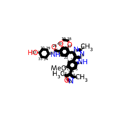 COc1cc2c(cc1-c1c(C)noc1C)[nH]c1nc(C)nc(-c3ccc(C(=O)N[C@H]4CC[C@@H](O)CC4)c4c3OCCO4)c12